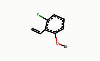 C=Cc1c(F)cccc1OCC